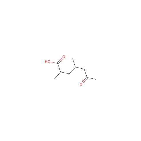 CC(=O)CC(C)CC(C)C(=O)O